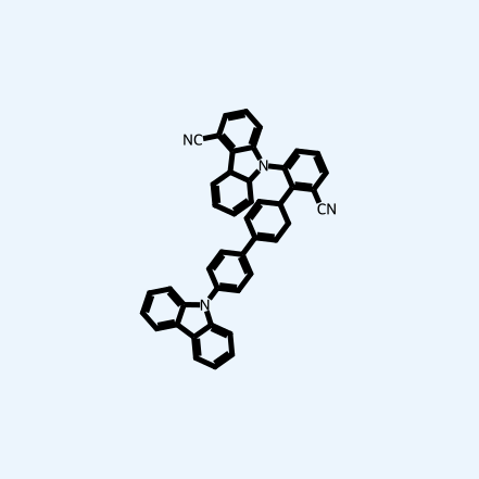 N#Cc1cccc(N2c3cccc(C#N)c3C3C=CC=CC32)c1C1C=CC(c2ccc(-n3c4ccccc4c4ccccc43)cc2)=CC1